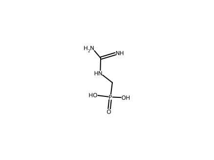 N=C(N)NCP(=O)(O)O